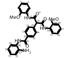 COc1ccccc1NC(=O)C(C(=O)Nc1ccccc1OC)c1ccc(C(=O)Nc2ccccc2N)cc1